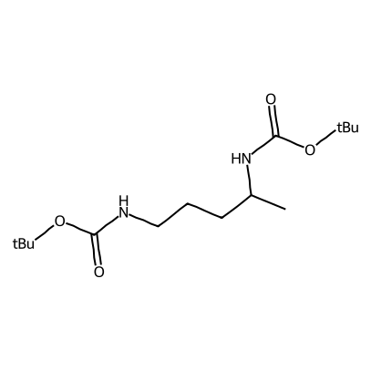 CC(CCCNC(=O)OC(C)(C)C)NC(=O)OC(C)(C)C